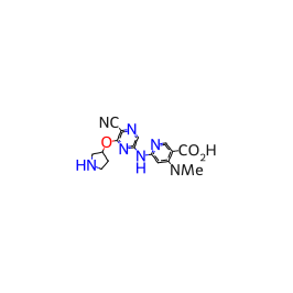 CNc1cc(Nc2cnc(C#N)c(OC3CCNC3)n2)ncc1C(=O)O